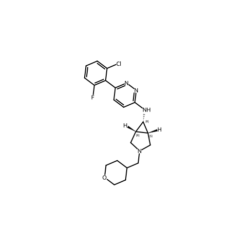 Fc1cccc(Cl)c1-c1ccc(N[C@@H]2[C@@H]3CN(CC4CCOCC4)C[C@@H]32)nn1